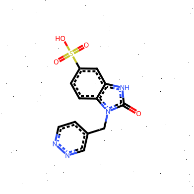 O=c1[nH]c2cc(S(=O)(=O)O)ccc2n1Cc1ccnnc1